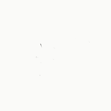 CC(C)(C)OC(=O)N[C@@H](Cc1ccccc1)c1nc(-c2ccc(C#N)cc2)c[nH]1